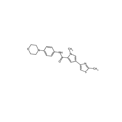 Cc1nc(-c2cc(C(=O)Nc3ccc(N4CCOCC4)cc3)n(C)c2)cs1